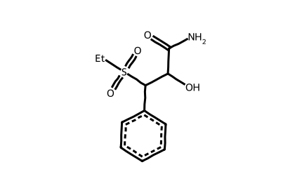 CCS(=O)(=O)C(c1ccccc1)C(O)C(N)=O